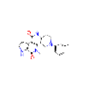 Cc1cccc(N2CCC(N(C)C(=O)c3cn(C)c(=O)c4[nH]ccc34)CC2)c1